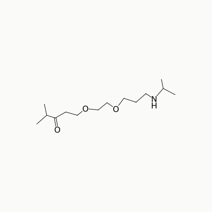 CC(C)NCCCOCCOCCC(=O)C(C)C